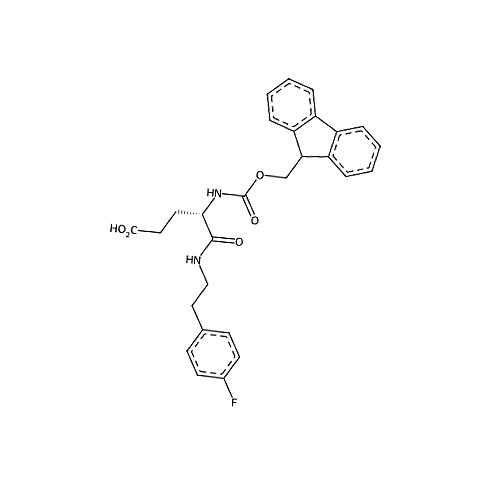 O=C(O)CC[C@H](NC(=O)OCC1c2ccccc2-c2ccccc21)C(=O)NCCc1ccc(F)cc1